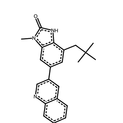 Cn1c(=O)[nH]c2c(CC(C)(C)C)cc(-c3cnc4ccccc4c3)cc21